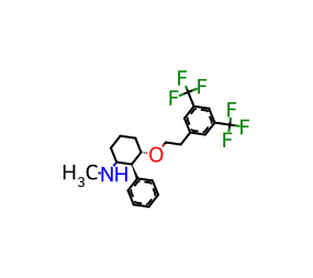 CN[C@H]1CCC[C@H](OCCc2cc(C(F)(F)F)cc(C(F)(F)F)c2)[C@H]1c1ccccc1